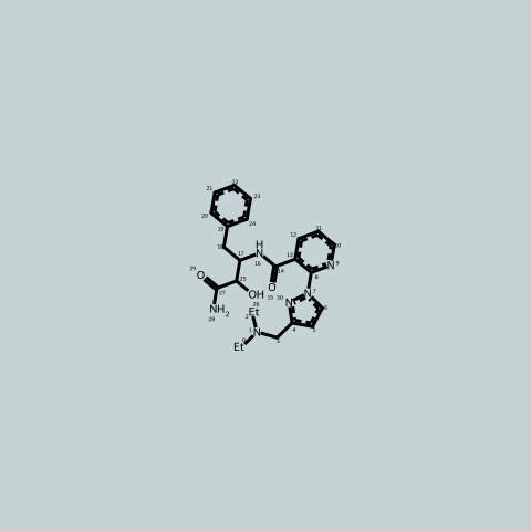 CCN(CC)Cc1ccn(-c2ncccc2C(=O)NC(Cc2ccccc2)C(O)C(N)=O)n1